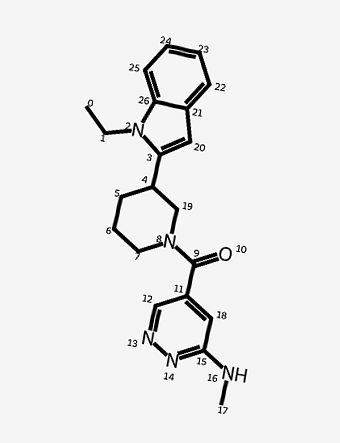 CCn1c(C2CCCN(C(=O)c3cnnc(NC)c3)C2)cc2ccccc21